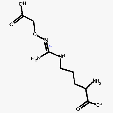 N/C(=N\OCC(=O)O)NCCCC(N)C(=O)O